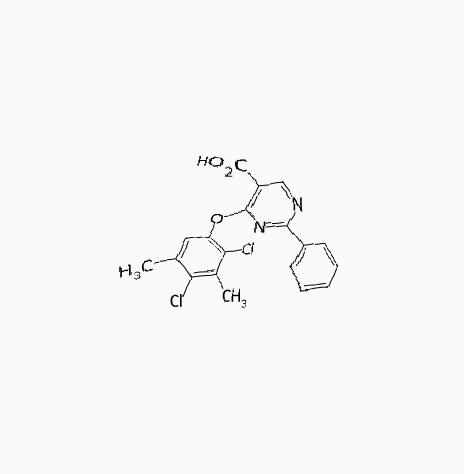 Cc1cc(Oc2nc(-c3ccccc3)ncc2C(=O)O)c(Cl)c(C)c1Cl